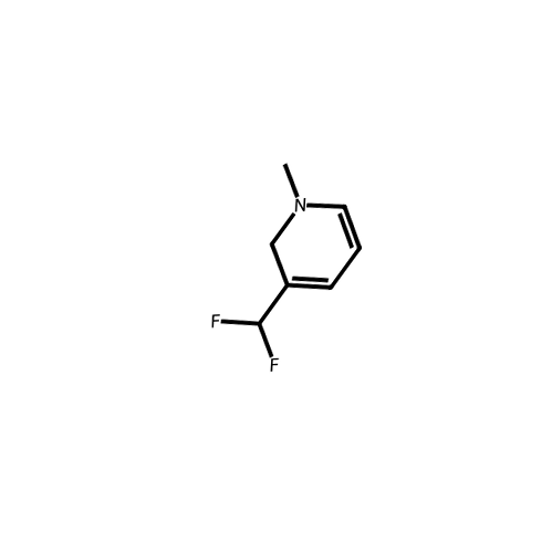 CN1C=CC=C(C(F)F)C1